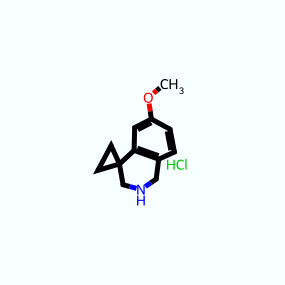 COc1ccc2c(c1)C1(CC1)CNC2.Cl